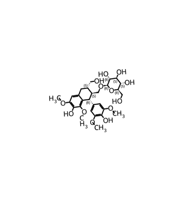 COc1cc([C@@H]2c3c(cc(OC)c(O)c3OC)C[C@H](CO)[C@H]2CO[C@@H]2O[C@H](CO)[C@@H](O)[C@H](O)[C@H]2O)cc(OC)c1O